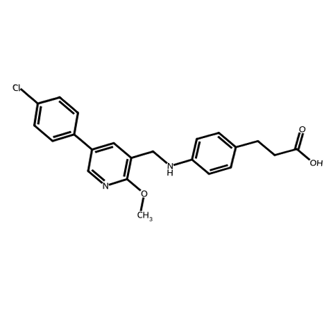 COc1ncc(-c2ccc(Cl)cc2)cc1CNc1ccc(CCC(=O)O)cc1